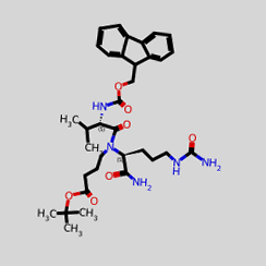 CC(C)[C@H](NC(=O)OCC1c2ccccc2-c2ccccc21)C(=O)N(CCCC(=O)OC(C)(C)C)[C@@H](CCCNC(N)=O)C(N)=O